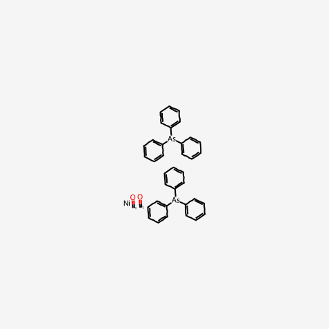 [C]=O.[C]=O.[Ni].c1ccc([As](c2ccccc2)c2ccccc2)cc1.c1ccc([As](c2ccccc2)c2ccccc2)cc1